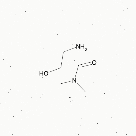 CN(C)C=O.NCCO